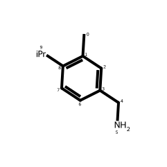 Cc1cc(CN)ccc1C(C)C